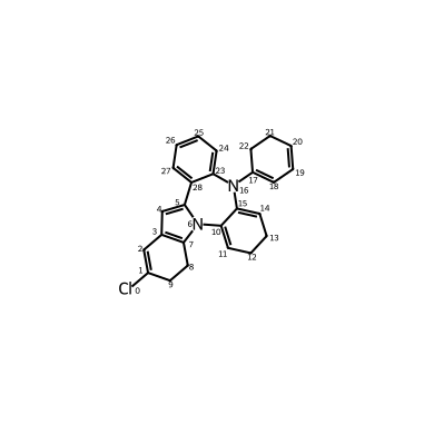 ClC1=Cc2cc3n(c2CC1)C1=CCCC=C1N(C1=CC=CCC1)c1ccccc1-3